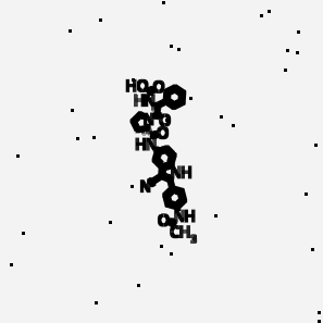 CC(=O)Nc1ccc(-c2[nH]c3ccc(NC(=O)[C@@H]4CCCN4C(=O)[C@H](NC(=O)O)c4ccccc4)cc3c2C#N)cc1